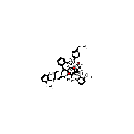 C=Cc1ccc(OS(=O)(=O)C(F)(F)C(F)(F)C(F)(F)S(=O)(=O)OS(=O)(=O)c2ccccc2-c2c3cc/c(=N\c4c(C)cccc4C)cc-3oc3cc(Nc4c(C)cccc4C)ccc23)cc1